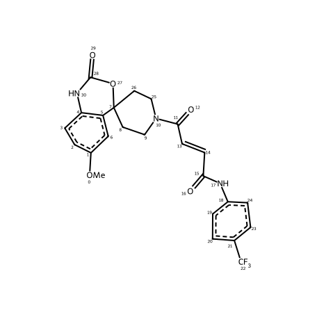 COc1ccc2c(c1)C1(CCN(C(=O)C=CC(=O)Nc3ccc(C(F)(F)F)cc3)CC1)OC(=O)N2